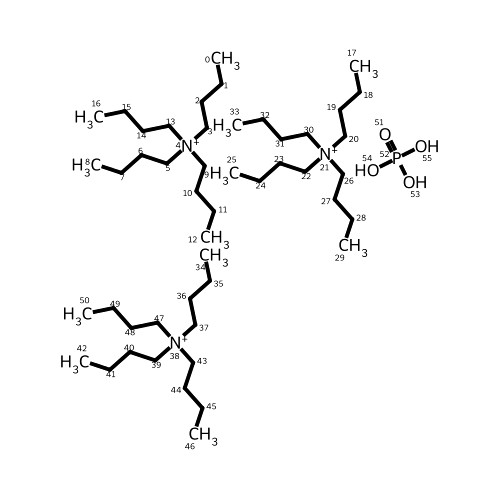 CCCC[N+](CCCC)(CCCC)CCCC.CCCC[N+](CCCC)(CCCC)CCCC.CCCC[N+](CCCC)(CCCC)CCCC.O=P(O)(O)O